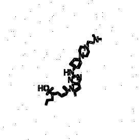 C=C(/C=C\C=C(/CCC)C(C)(C)O)n1c(C)cc2cnc(Nc3ccc(N4CCN(CCN(C)C)CC4)cc3)nc21